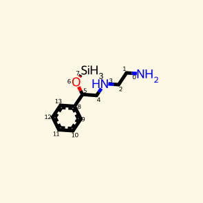 NCCNCC(O[SiH3])c1ccccc1